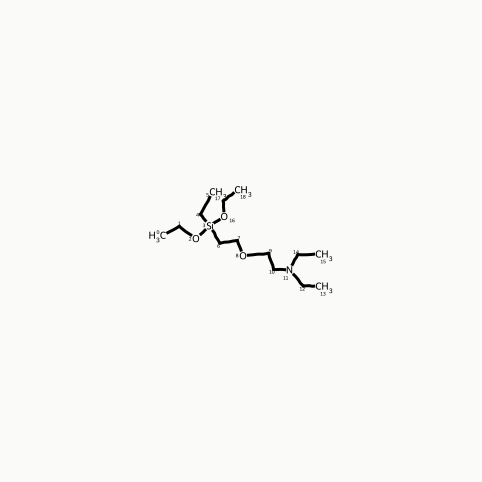 CCO[Si](CC)(CCOCCN(CC)CC)OCC